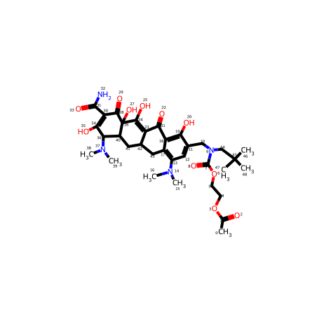 CC(=O)OCCOC(=O)N(Cc1cc(N(C)C)c2c(c1O)C(=O)C1=C(O)C3(O)C(=O)C(C(N)=O)=C(O)C(N(C)C)C3CC1C2)CC(C)(C)C